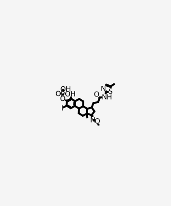 CON=C1CC(CCC(=O)Nc2ncc(C)s2)C2C3CCc4c(cc(I)c(OP(=O)(O)O)c4I)C3CCC12C